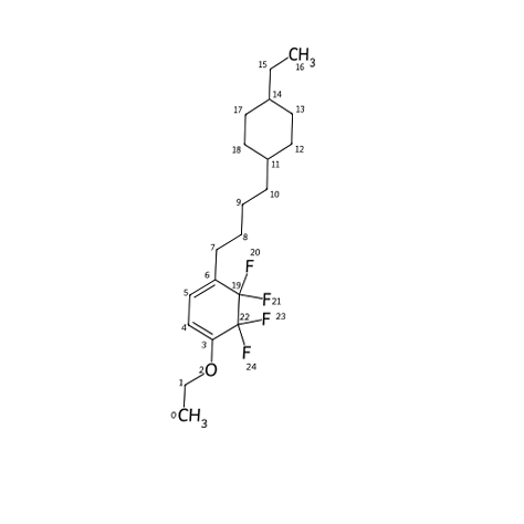 CCOC1=CC=C(CCCCC2CCC(CC)CC2)C(F)(F)C1(F)F